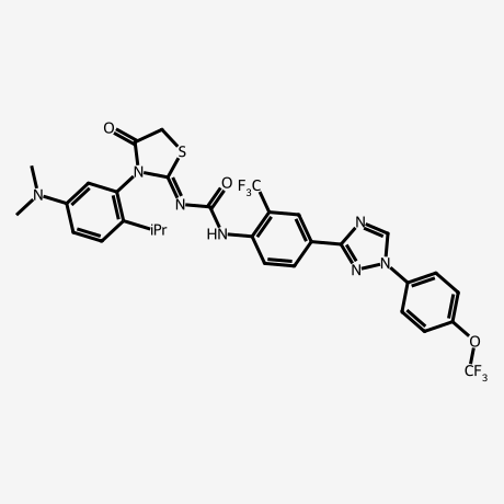 CC(C)c1ccc(N(C)C)cc1N1C(=O)CS/C1=N\C(=O)Nc1ccc(-c2ncn(-c3ccc(OC(F)(F)F)cc3)n2)cc1C(F)(F)F